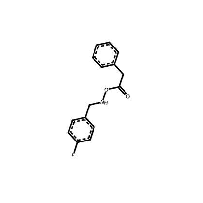 O=C(Cc1ccccc1)ONCc1ccc(F)cc1